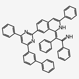 N=C(/C(=C1\NC(c2ccccc2)=Cc2ccc(-c3nc(-c4ccccc4)cc(-c4cccc(-c5ccccc5)c4)n3)cc21)c1ccccc1)c1ccccc1